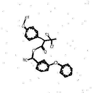 CCOc1ccc(C(C(=O)OC(C#N)c2cccc(Oc3ccccc3)c2)C(C)(Cl)Cl)cc1